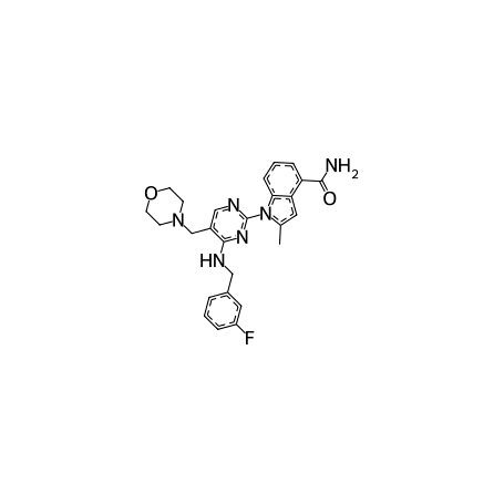 Cc1cc2c(C(N)=O)cccc2n1-c1ncc(CN2CCOCC2)c(NCc2cccc(F)c2)n1